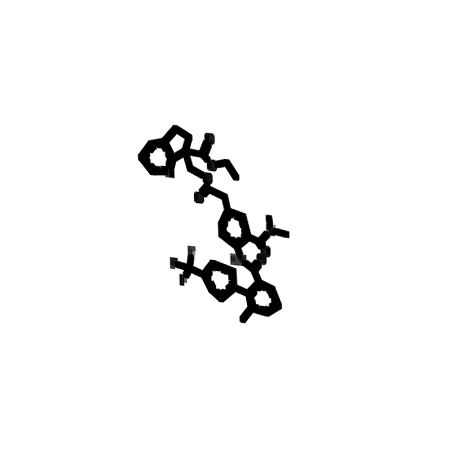 CCOC(=O)C1(COC(=O)Cc2ccc(NC(=O)c3cccc(C)c3-c3ccc(C(F)(F)F)cc3)c(C(=O)N(C)C)c2)CCc2cccnc21